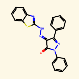 O=C1/C(=N/Nc2nc3ccccc3s2)C(c2ccccc2)=NN1c1ccccc1